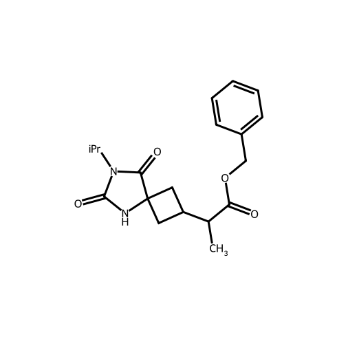 CC(C(=O)OCc1ccccc1)C1CC2(C1)NC(=O)N(C(C)C)C2=O